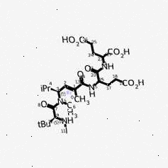 C/C(=C\[C@H](C(C)C)N(C)C(=O)[C@@H](NI)C(C)(C)C)C(=O)NC(CCC(=O)O)C(=O)NC(CCC(=O)O)C(=O)O